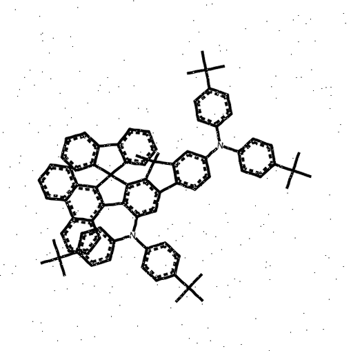 CC(C)(C)c1ccc(N(c2ccc(C(C)(C)C)cc2)c2ccc3c(c2)C(C)(C)c2c-3cc(N(c3ccc(C(C)(C)C)cc3)c3ccc(C(C)(C)C)cc3)c3c2C2(c4ccccc4-c4ccccc42)c2c-3c3ccccc3c3ccccc23)cc1